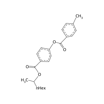 CCCCCCC(C)OC(=O)c1ccc(OC(=O)c2ccc(C)cc2)cc1